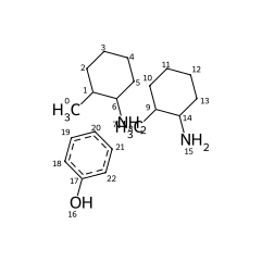 CC1CCCCC1N.CC1CCCCC1N.Oc1ccccc1